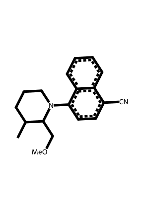 COCC1C(C)CCCN1c1ccc(C#N)c2ccccc12